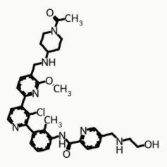 COc1nc(-c2ccnc(-c3cccc(NC(=O)c4ccc(CNCCO)cn4)c3C)c2Cl)ccc1CNC1CCN(C(C)=O)CC1